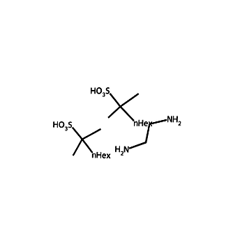 CCCCCCC(C)(C)S(=O)(=O)O.CCCCCCC(C)(C)S(=O)(=O)O.NCCN